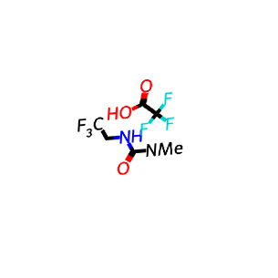 CNC(=O)NCC(F)(F)F.O=C(O)C(F)(F)F